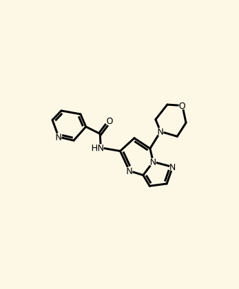 O=C(Nc1cc(N2CCOCC2)n2nccc2n1)c1cccnc1